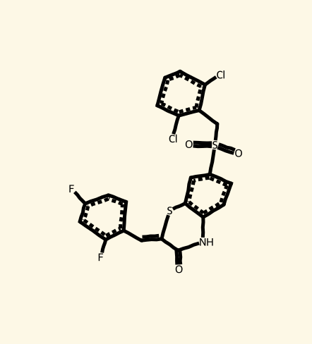 O=C1Nc2ccc(S(=O)(=O)Cc3c(Cl)cccc3Cl)cc2SC1=Cc1ccc(F)cc1F